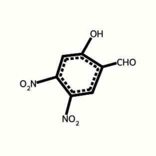 O=Cc1cc([N+](=O)[O-])c([N+](=O)[O-])cc1O